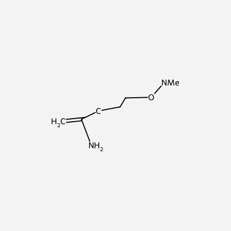 C=C(N)CCCONC